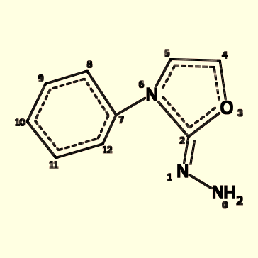 NN=c1occn1-c1ccccc1